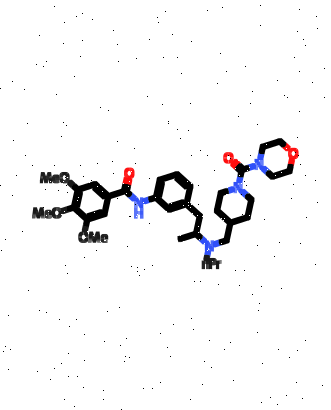 CCCN(CC1CCN(C(=O)N2CCOCC2)CC1)C(C)Cc1cccc(NC(=O)c2cc(OC)c(OC)c(OC)c2)c1